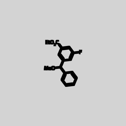 CCOC(=O)c1cc(F)cc(C(OC)c2ccccc2)c1